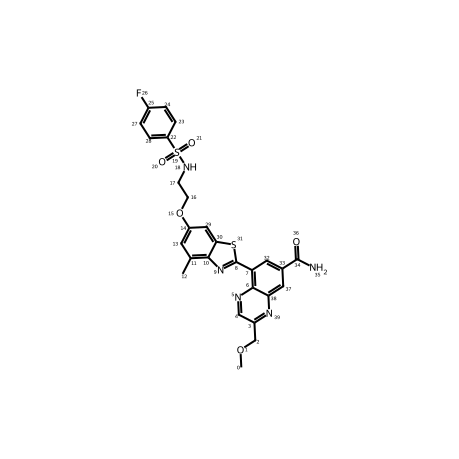 COCc1cnc2c(-c3nc4c(C)cc(OCCNS(=O)(=O)c5ccc(F)cc5)cc4s3)cc(C(N)=O)cc2n1